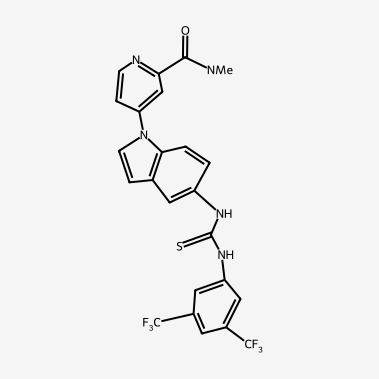 CNC(=O)c1cc(-n2ccc3cc(NC(=S)Nc4cc(C(F)(F)F)cc(C(F)(F)F)c4)ccc32)ccn1